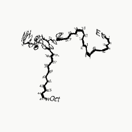 CC/C=C\C/C=C\C/C=C\C/C=C\C/C=C\CCCC(=O)OC[C@H](COP(=O)(O)OCCN)OC(=O)CCCCCCCCC/C=C\CCCCCCCC